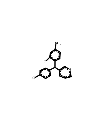 Nc1ccc(C(c2ccc(Cl)cc2)c2cccnc2)c(Cl)c1